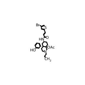 C=CCN1CC[C@@]2(c3cccc(O)c3)C[C@H](NC(=O)C=Cc3cc(Br)cs3)CC[C@]2(OC(C)=O)C1